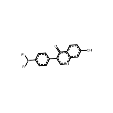 CC(C)N(c1ccc(-c2coc3cc(O)ccc3c2=O)cc1)C(C)C